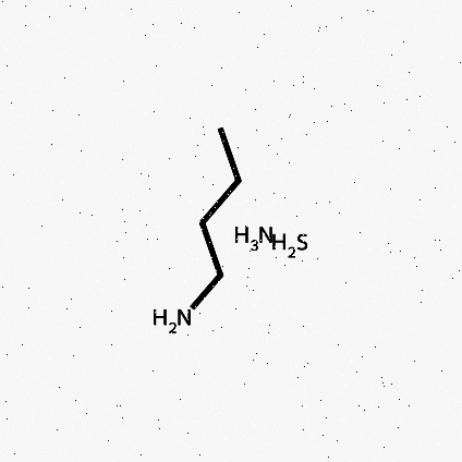 CCCCN.N.S